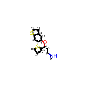 CNCC[C@H](Oc1ccc2sccc2c1)c1cccs1